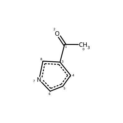 CC(=O)c1[c]ccnc1